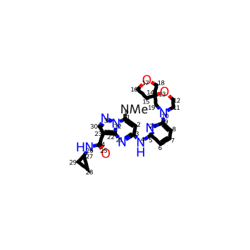 CNc1cc(Nc2cccc(N3CCOC4(CCOC4)C3)n2)nc2c(C(=O)NC3CC3)cnn12